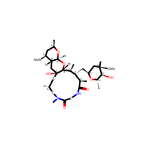 CN[C@H]1C[C@@H](C)O[C@H]2O[C@@H]3[C@@H](C)[C@H](C[C@H]4C[C@@](C)(OC)[C@@H](O)[C@H](C)O4)[C@@H](C)C(=O)NCC(=O)N(C)C[C@H](C)C[C@]3(O)C[C@@H]21